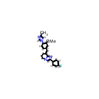 COc1cc(C=C2CCCn3cc(-c4ccc(F)cc4)nc32)ccc1-n1cnc(C)c1